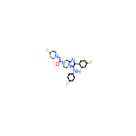 O=C(CN1CCC(F)CC1)N1CCn2c(nc(-c3ccc(F)cc3)c2Nc2ccc(F)cc2)C1